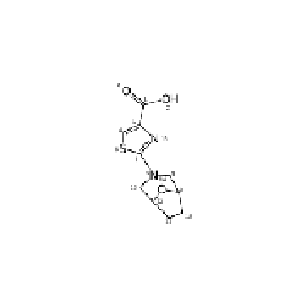 O=C(O)c1csc(N2CC3CCC(C2)O3)n1